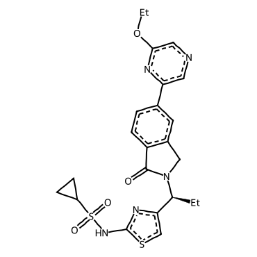 CCOc1cncc(-c2ccc3c(c2)CN([C@@H](CC)c2csc(NS(=O)(=O)C4CC4)n2)C3=O)n1